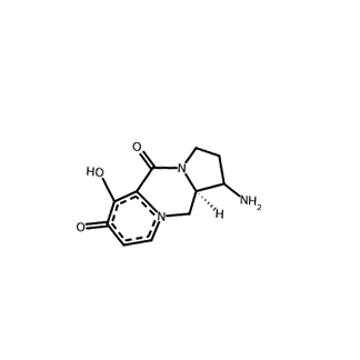 NC1CCN2C(=O)c3c(O)c(=O)ccn3C[C@H]12